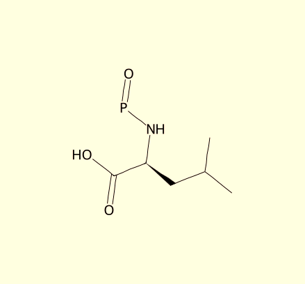 CC(C)C[C@H](NP=O)C(=O)O